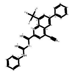 N#Cc1cc(C(=N)OC(=N)Nc2ccccc2)nc2c(C(F)(F)F)cc(-c3ccccc3)cc12